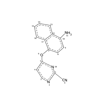 N#Cc1nccc(Oc2ccc(N)c3ccccc23)n1